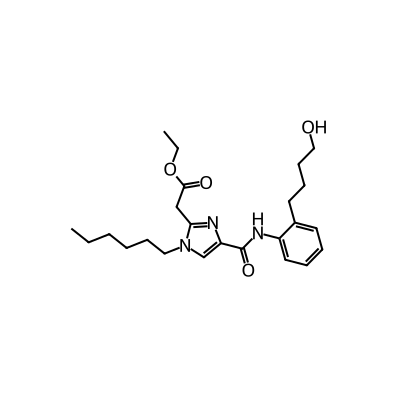 CCCCCCn1cc(C(=O)Nc2ccccc2CCCCO)nc1CC(=O)OCC